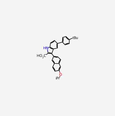 CC(C)Oc1ccc2cc(-c3c(C(=O)O)[nH]c4ccc(-c5ccc(C(C)(C)C)cc5)cc34)ccc2c1